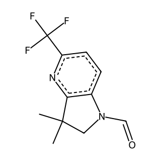 CC1(C)CN(C=O)c2ccc(C(F)(F)F)nc21